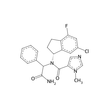 Cn1cncc1C(=O)N(C(C(N)=O)c1ccccc1)[C@@H]1CCc2c(F)cc(Cl)cc21